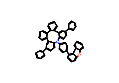 c1ccc(-c2ccc3c(c2)c2ccccc2c2ccccc2c2cc(-c4ccccc4)ccc2n3-c2ccc(-c3cccc4oc5ccccc5c34)cc2)cc1